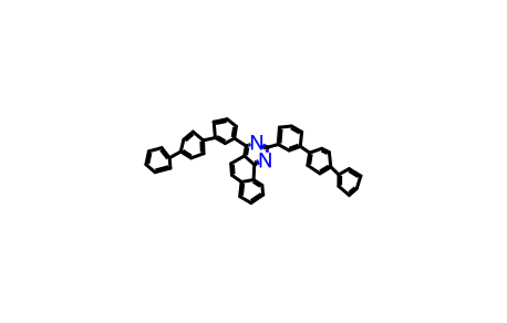 c1ccc(-c2ccc(-c3cccc(-c4nc(-c5cccc(-c6ccc(-c7ccccc7)cc6)c5)c5ccc6ccccc6c5n4)c3)cc2)cc1